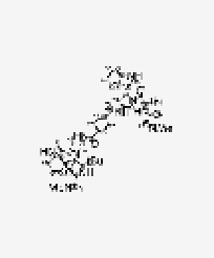 CN[C@@H](C)C(=O)N[C@H](C(=O)N1C[C@@H](NC(=O)c2ccc(C(=O)N[C@H]3CC(c4c[nH]c5ccccc45)N(C(=O)[C@@H](NC(=O)[C@H](C)NC)C(C)(C)C)C3)cc2)CC1c1c[nH]c2ccccc12)C(C)(C)C